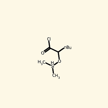 CCCCC(O[SiH](C)C)C(=O)Cl